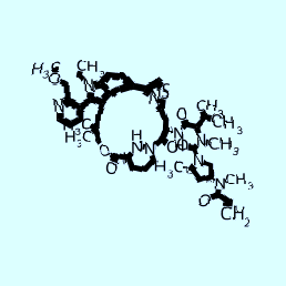 C=CC(=O)N(C)[C@@H]1C[C@H](C)N(C(=O)N(C)C(C(=O)N[C@H]2Cc3nc(cs3)-c3ccc4c(c3)c(c(-c3cccnc3COC)n4CC)CC(C)(C)COC(=O)[C@@H]3CCCN(N3)C2=O)C(C)C)C1